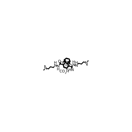 CN(C)CCCNNC(=N)c1c(C(=O)O)cc(C(=O)NNCCCN(C)C)c2c3ccc(c(=O)[nH]c3=O)c12